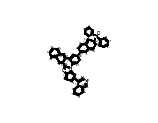 O=P(c1ccccc1)(c1ccccc1)c1ccc2cc(-c3ccc4c(c3)c3cc5ccccc5cc3c3nc5ccc(-c6cncc7ccccc67)cc5n43)ccc2c1